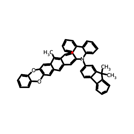 Cc1c2ccc(N(c3ccc4c(c3)C(C)(C)c3ccccc3-4)c3ccccc3-c3ccccc3)cc2cc2cc3c(cc12)Oc1ccccc1O3